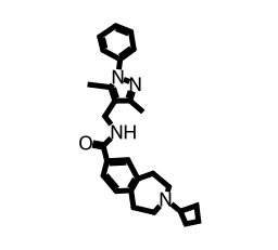 Cc1nn(-c2ccccc2)c(C)c1CNC(=O)c1ccc2c(c1)CCN(C1CCC1)CC2